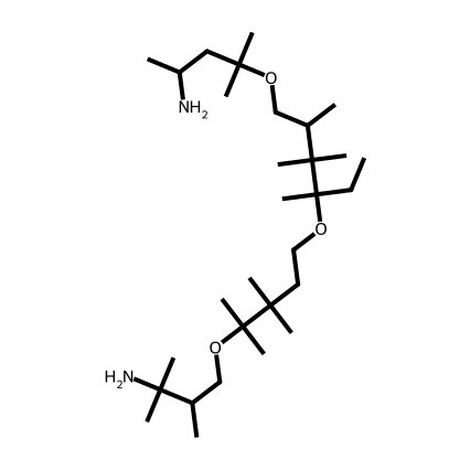 CCC(C)(OCCC(C)(C)C(C)(C)OCC(C)C(C)(C)N)C(C)(C)C(C)COC(C)(C)CC(C)N